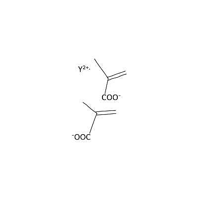 C=C(C)C(=O)[O-].C=C(C)C(=O)[O-].[Y+2]